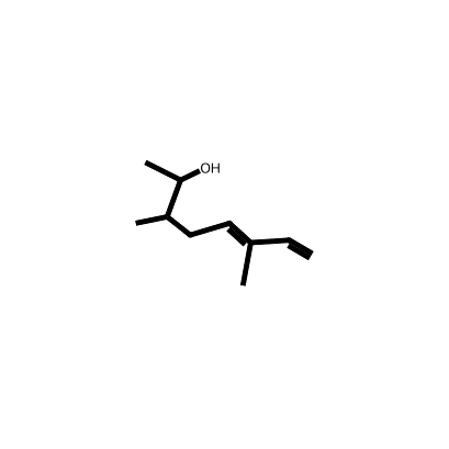 C=C/C(C)=C/CC(C)C(C)O